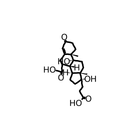 C[C@]12CCC(=O)C=C1CC(C(=O)O)[C@H]1[C@@H]3CC[C@](O)(CCC(=O)O)[C@@]3(C)CC[C@@]12O